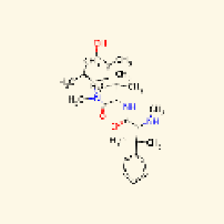 CNC(C(=O)N[C@H](C(=O)N(C)[C@H](C=C(C)CO)C(C)C)C(C)(C)C)C(C)(C)c1ccccc1